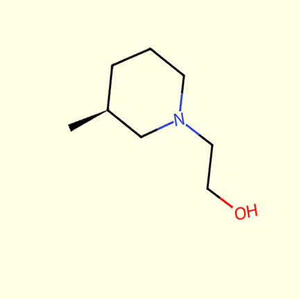 C[C@H]1CCCN(CCO)C1